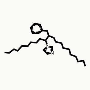 CCCCCCCCCCC(Cc1ccccc1)C(CCCCCCCCC)n1ccnc1